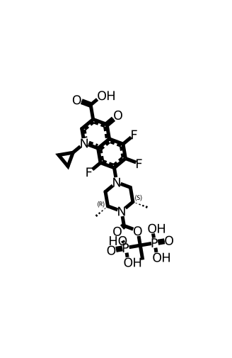 C[C@@H]1CN(c2c(F)c(F)c3c(=O)c(C(=O)O)cn(C4CC4)c3c2F)C[C@H](C)N1C(=O)OC(C)(P(=O)(O)O)P(=O)(O)O